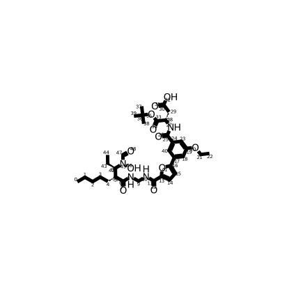 CCCCC[C@@H](C(=O)NCNC(=O)c1ccc(-c2cc(OCC)cc(C(=O)N[C@@H](CC(=O)O)C(=O)OC(C)(C)C)c2)o1)[C@@H](CC)N(O)C=O